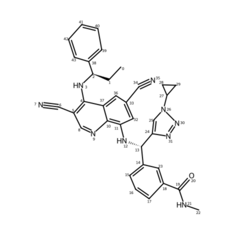 CC[C@@H](Nc1c(C#N)cnc2c(N[C@@H](c3cccc(C(=O)NC)c3)c3cn(C4CC4)nn3)cc(C#N)cc12)c1ccccc1